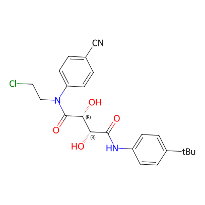 CC(C)(C)c1ccc(NC(=O)[C@H](O)[C@@H](O)C(=O)N(CCCl)c2ccc(C#N)cc2)cc1